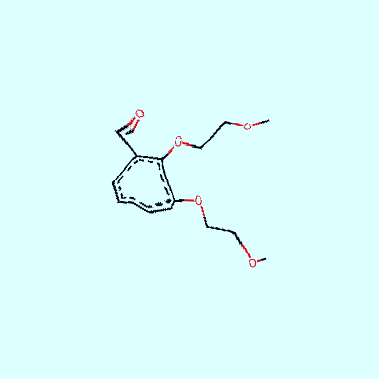 COCCOc1cccc(C=O)c1OCCOC